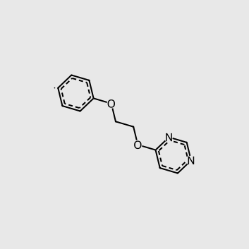 [c]1ccc(OCCOc2ccncn2)cc1